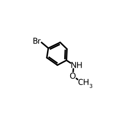 CONc1ccc(Br)cc1